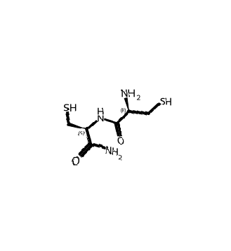 NC(=O)[C@@H](CS)NC(=O)[C@@H](N)CS